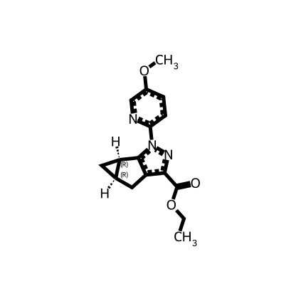 CCOC(=O)c1nn(-c2ccc(OC)cn2)c2c1C[C@H]1C[C@@H]21